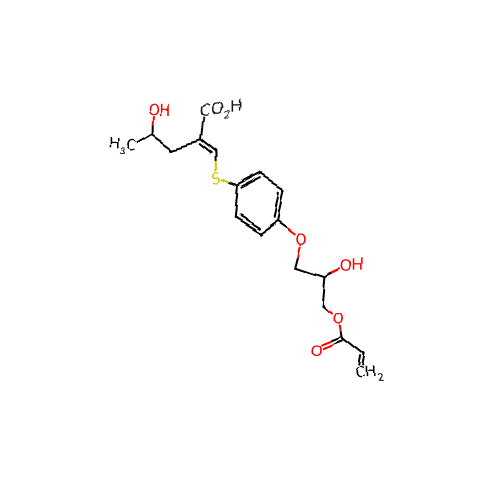 C=CC(=O)OCC(O)COc1ccc(SC=C(CC(C)O)C(=O)O)cc1